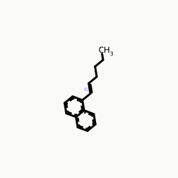 CCCC/C=C/c1cccc2ccccc12